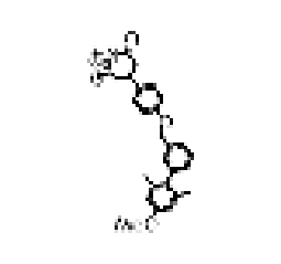 COc1cc(C)c(-c2cccc(COc3ccc(C4CC(=O)NS(=O)(=O)C4)cc3)c2)c(C)c1